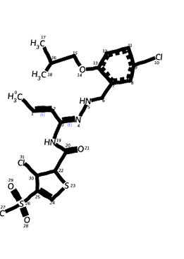 C/C=C/C(=N\NCc1cc(Cl)ccc1OCC(C)C)NC(=O)C1SC=C(S(C)(=O)=O)C1Cl